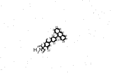 CCC(N)(CC)c1cc(C)c(-c2ccc(-c3c4ccccc4cc4ccccc34)cc2)cc1C